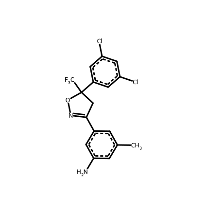 Cc1cc(N)cc(C2=NOC(c3cc(Cl)cc(Cl)c3)(C(F)(F)F)C2)c1